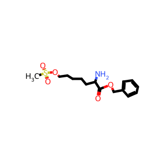 CS(=O)(=O)OCCCCCC(N)C(=O)OCc1ccccc1